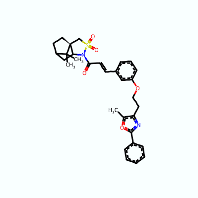 Cc1oc(-c2ccccc2)nc1CCOc1cccc(/C=C/C(=O)N2C3CC4CC[C@]3(CS2(=O)=O)C4(C)C)c1